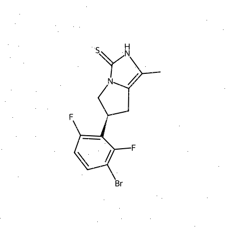 Cc1[nH]c(=S)n2c1C[C@@H](c1c(F)ccc(Br)c1F)C2